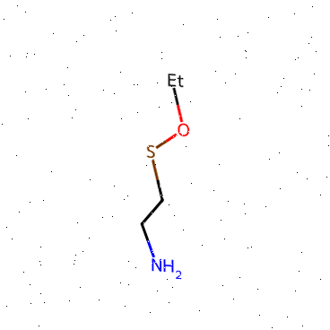 CCOSCCN